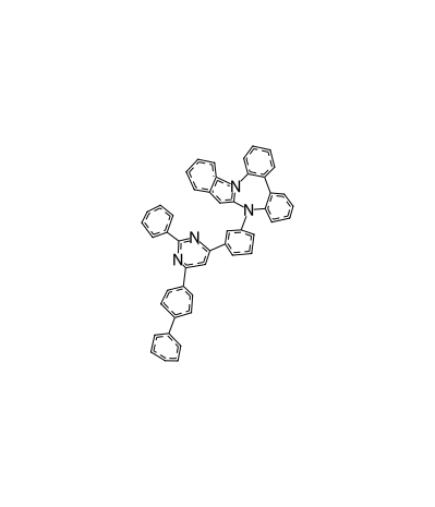 c1ccc(-c2ccc(-c3cc(-c4cccc(N5c6ccccc6-c6ccccc6-n6c5cc5ccccc56)c4)nc(-c4ccccc4)n3)cc2)cc1